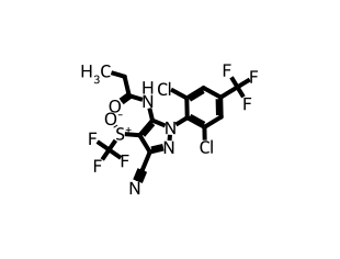 CCC(=O)Nc1c([S+]([O-])C(F)(F)F)c(C#N)nn1-c1c(Cl)cc(C(F)(F)F)cc1Cl